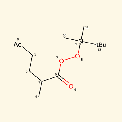 CC(=O)CCC(C)C(=O)OO[Si](C)(C)C(C)(C)C